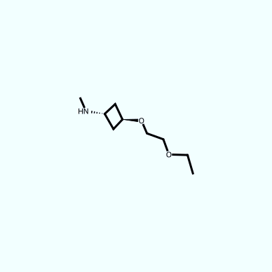 CCOCCO[C@H]1C[C@H](NC)C1